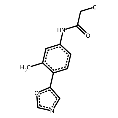 Cc1cc(NC(=O)CCl)ccc1-c1cnco1